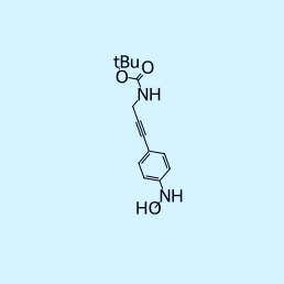 CC(C)(C)OC(=O)NCC#Cc1ccc(NO)cc1